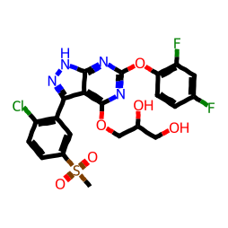 CS(=O)(=O)c1ccc(Cl)c(-c2n[nH]c3nc(Oc4ccc(F)cc4F)nc(OCC(O)CO)c23)c1